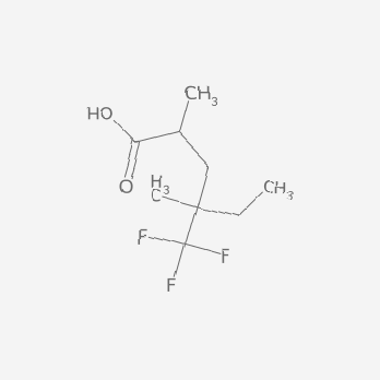 CCC(C)(CC(C)C(=O)O)C(F)(F)F